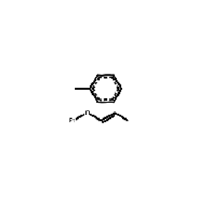 CC=COCC.Cc1ccccc1